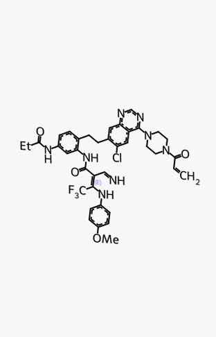 C=CC(=O)N1CCN(c2ncnc3cc(CCc4ccc(NC(=O)CC)cc4NC(=O)/C(C=N)=C(/Nc4ccc(OC)cc4)C(F)(F)F)c(Cl)cc23)CC1